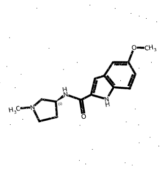 COc1ccc2[nH]c(C(=O)N[C@H]3CCN(C)C3)cc2c1